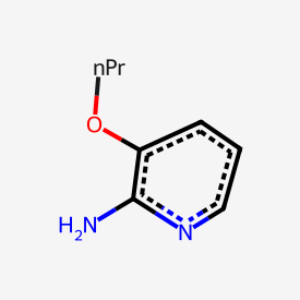 CCCOc1cccnc1N